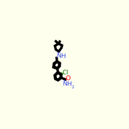 CC1(C)CCC(NCc2ccc(-c3cccc(C(N)=O)c3Cl)cc2)CC1